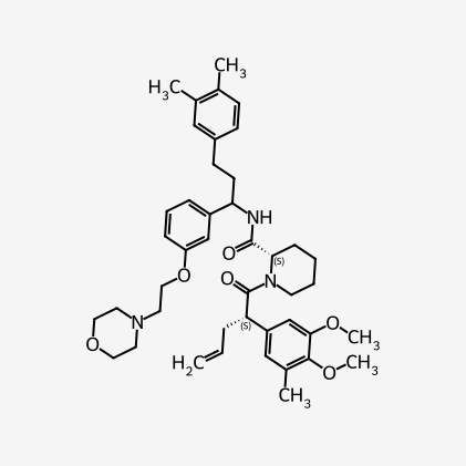 C=CC[C@H](C(=O)N1CCCC[C@H]1C(=O)NC(CCc1ccc(C)c(C)c1)c1cccc(OCCN2CCOCC2)c1)c1cc(C)c(OC)c(OC)c1